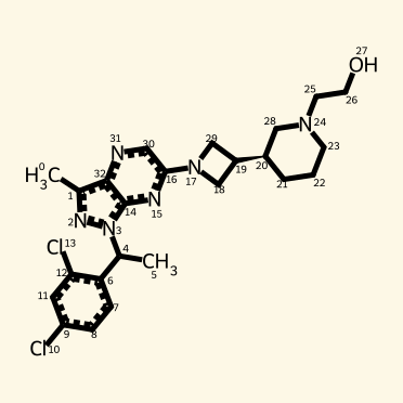 Cc1nn(C(C)c2ccc(Cl)cc2Cl)c2nc(N3CC([C@@H]4CCCN(CCO)C4)C3)cnc12